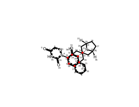 O=c1cnn(-c2nc3ccccc3n([C@H]3C[C@H]4CC[C@@H](C3)N4[C@H]3C[C@@H]4CCC[C@@H](C4)C3)c2=O)c(=O)[nH]1